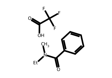 CCN(C)C(=O)c1ccccc1.O=C(O)C(F)(F)F